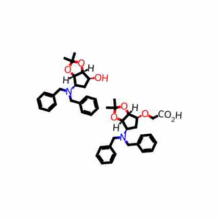 CC1(C)O[C@@H]2[C@H](O1)[C@@H](O)C[C@H]2N(Cc1ccccc1)Cc1ccccc1.CC1(C)O[C@@H]2[C@H](O1)[C@@H](OCC(=O)O)C[C@H]2N(Cc1ccccc1)Cc1ccccc1